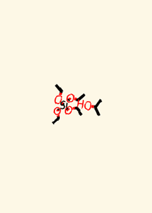 CC(C)O.CCO[Si](OCC)(OCC)OCC